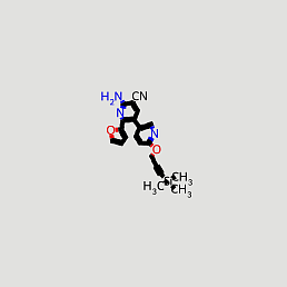 C[Si](C)(C)C#CCOc1ccc(-c2cc(C#N)c(N)nc2-c2ccco2)cn1